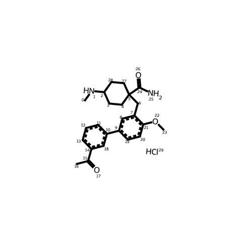 CNC1CCC(Cc2cc(-c3cccc(C(C)=O)c3)ccc2OC)(C(N)=O)CC1.Cl